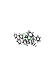 CC(C)(C)C1=Cc2c(ccc(-c3ccccc3)c2-c2ccccc2-c2ccccc2)[CH]1[Zr]([Cl])([Cl])[c]1cccc2c1[SiH2]c1ccccc1-2